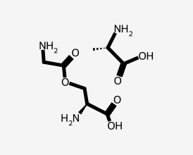 C[C@H](N)C(=O)O.NCC(=O)OC[C@H](N)C(=O)O